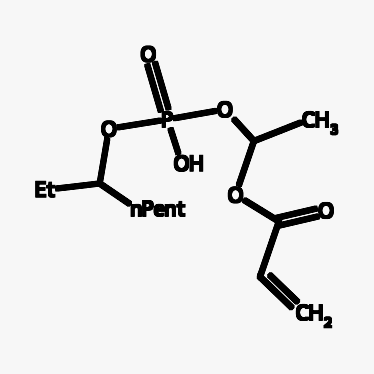 C=CC(=O)OC(C)OP(=O)(O)OC(CC)CCCCC